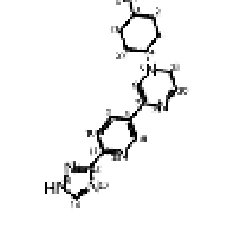 O[C@H]1CC[C@H](N2C=C(c3ccc(-c4nc[nH]n4)nc3)N=CC2)CC1